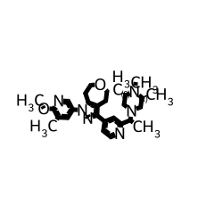 COc1ncc(-n2nc(-c3ccnc(C(C)N4C[C@@H](C)N(C)[C@@H](C)C4)c3)c3c2CCOCC3)cc1C